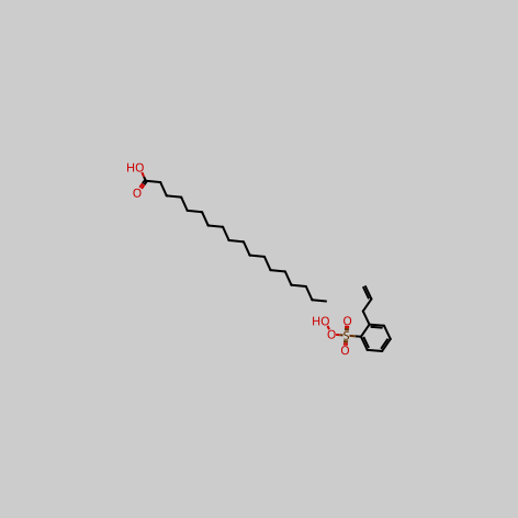 C=CCc1ccccc1S(=O)(=O)OO.CCCCCCCCCCCCCCCCCC(=O)O